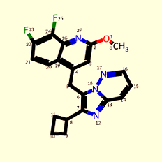 COc1cc(Cc2c(C3CCC3)nc3cccnn23)c2ccc(F)c(F)c2n1